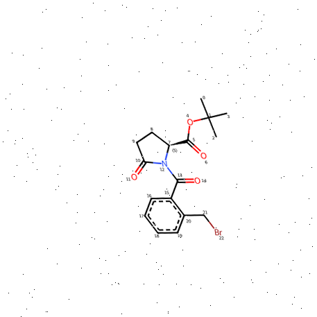 CC(C)(C)OC(=O)[C@@H]1CCC(=O)N1C(=O)c1ccccc1CBr